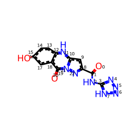 O=C(Nc1nnn[nH]1)c1cc2[nH]c3ccc(O)cc3c(=O)n2n1